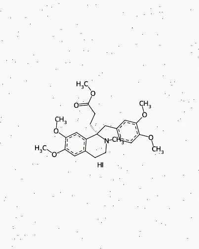 COC(=O)CC[C@@]1(Cc2ccc(OC)c(OC)c2)c2cc(OC)c(OC)cc2CCN1C.I